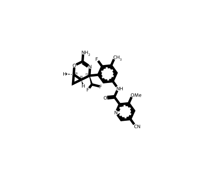 COc1cc(C#N)cnc1C(=O)Nc1cc(C)c(F)c([C@@]2(C(F)F)N=C(N)O[C@@H]3C[C@@H]32)c1